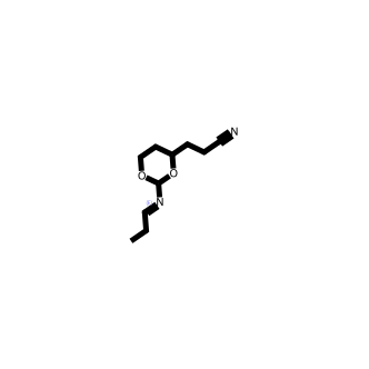 CC/C=N/C1OCCC(CCC#N)O1